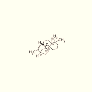 CC1=C[C@@H]2CC[C@H]3C(C)(C)CCC[C@]3(C)[C@@]23CC[C@@H]1C3